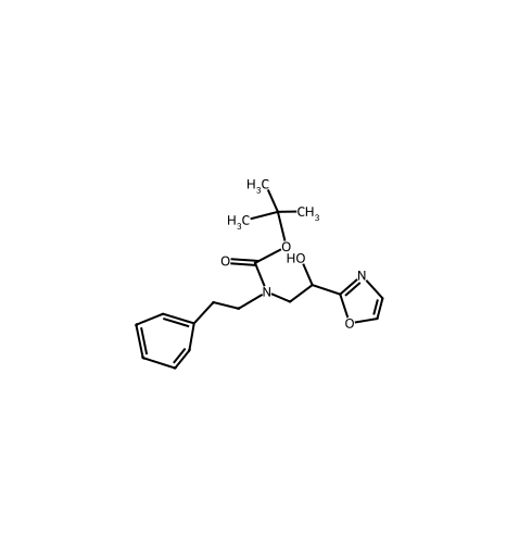 CC(C)(C)OC(=O)N(CCc1ccccc1)CC(O)c1ncco1